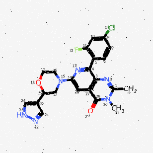 Cc1nc2c(-c3ccc(Cl)cc3F)nc(N3CCOC(c4cn[nH]c4)C3)cc2c(=O)n1C